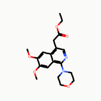 CCOC(=O)Cc1cnc(N2CCOCC2)c2cc(OC)c(OC)cc12